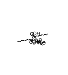 CCCCCCCCCC[C@@H](C(=O)O)C(C)C[C@H](C(=O)O)C(CCCCCCCCC)SC[C@H](N)C(=O)NC(CC)COC